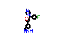 CN1CCN(C(c2ccc(F)cc2)c2cc(-c3ccc4[nH]ncc4c3)co2)CC1